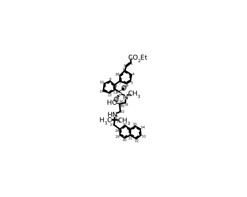 CCOC(=O)C=Cc1cccc(-c2ccccc2S(=O)(=O)N(C)C[C@H](O)CNC(C)(C)Cc2ccc3ccccc3c2)c1